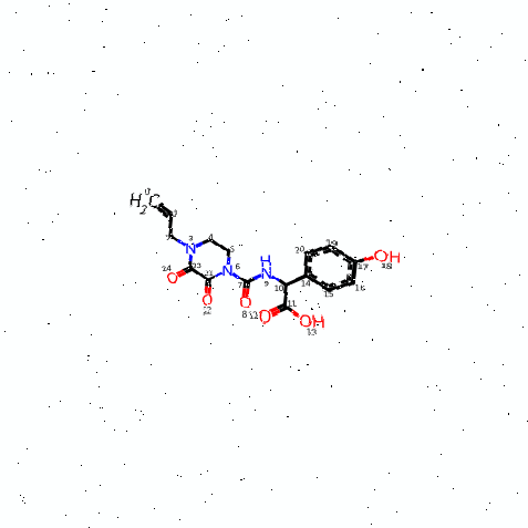 C=CCN1CCN(C(=O)NC(C(=O)O)c2ccc(O)cc2)C(=O)C1=O